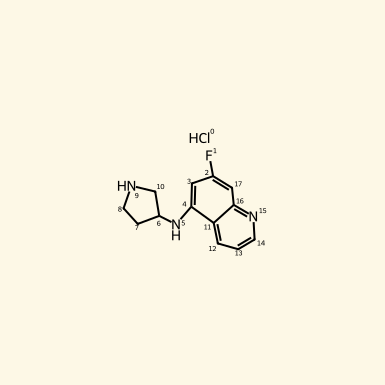 Cl.Fc1cc(NC2CCNC2)c2cccnc2c1